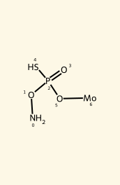 NOP(=O)(S)[O][Mo]